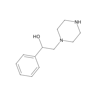 OC(CN1CCNCC1)c1ccccc1